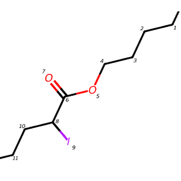 CCCCCOC(=O)C(I)CCC